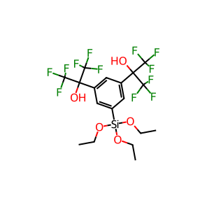 CCO[Si](OCC)(OCC)c1cc(C(O)(C(F)(F)F)C(F)(F)F)cc(C(O)(C(F)(F)F)C(F)(F)F)c1